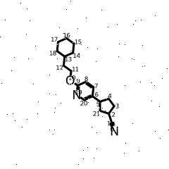 N#CC1CCC(c2ccc(OCCC3CCCCC3)nc2)C1